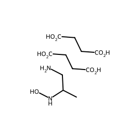 CC(CN)NO.O=C(O)CCC(=O)O.O=C(O)CCC(=O)O